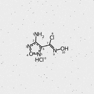 Cl.Nc1nonc1C(Cl)=NO